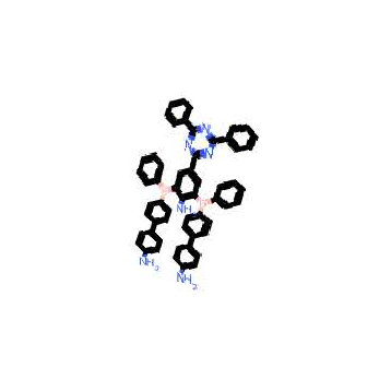 Nc1ccc(-c2ccc(B(c3ccccc3)c3cc(-c4nc(-c5ccccc5)nc(-c5ccccc5)n4)cc(B(c4ccccc4)c4ccc(-c5ccc(N)cc5)cc4)c3N)cc2)cc1